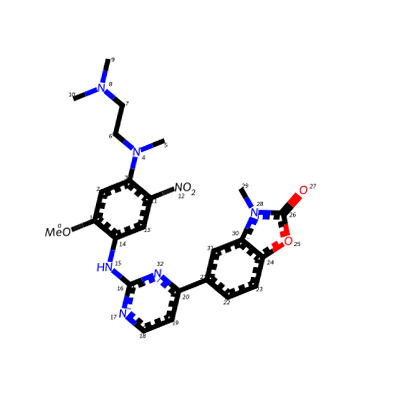 COc1cc(N(C)CCN(C)C)c([N+](=O)[O-])cc1Nc1nccc(-c2ccc3oc(=O)n(C)c3c2)n1